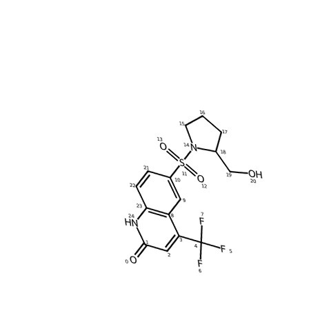 O=c1cc(C(F)(F)F)c2cc(S(=O)(=O)N3CCCC3CO)ccc2[nH]1